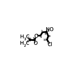 C=C(C)C(=O)OCCC(CCCl)N=O